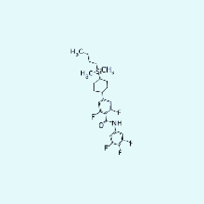 CCCC[Si](C)(C)C1CCC(c2cc(F)c(C(=O)Nc3cc(F)c(F)c(F)c3)c(F)c2)CC1